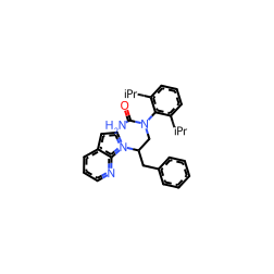 CC(C)c1cccc(C(C)C)c1N(CC(Cc1ccccc1)n1ccc2cccnc21)C(N)=O